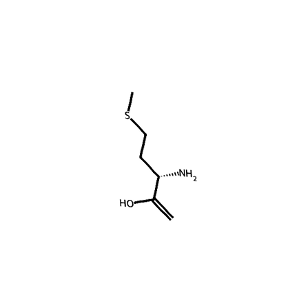 C=C(O)[C@@H](N)CCSC